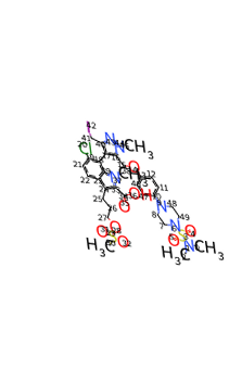 CN(C)S(=O)(=O)N1CCN(c2ccc(OCc3c(-c4c(Cl)ccc5c(CCCOS(C)(=O)=O)c(C(=O)O)n(C)c45)c(CI)nn3C)cc2)CC1